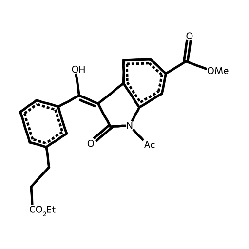 CCOC(=O)CCc1cccc(/C(O)=C2\C(=O)N(C(C)=O)c3cc(C(=O)OC)ccc32)c1